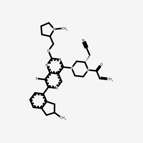 C=CC(=O)N1CCN(c2nc(OCC3CCCN3C)nc3c(F)c(-c4cccc5c4CC(C)C5)ncc23)C[C@@H]1CC#N